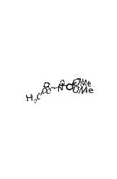 C=CCOc1ccccc1C(=O)CCc1coc(-c2ccc(OC)c(OC)c2)n1